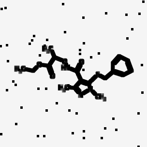 CCOC(=O)C(C)ONC(=O)c1c(C)nn(C)c1SCc1ccccc1